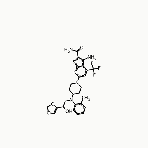 Cc1ccccc1N(CC(O)C1=COCO1)C1CCN(c2cc(C(F)(F)F)c3c(N)c(C(N)=O)sc3n2)CC1